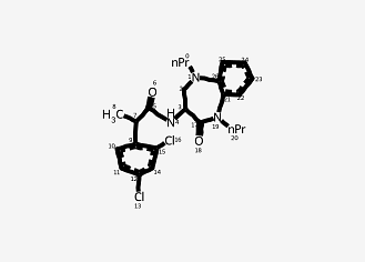 CCCN1CC(NC(=O)C(C)c2ccc(Cl)cc2Cl)C(=O)N(CCC)c2ccccc21